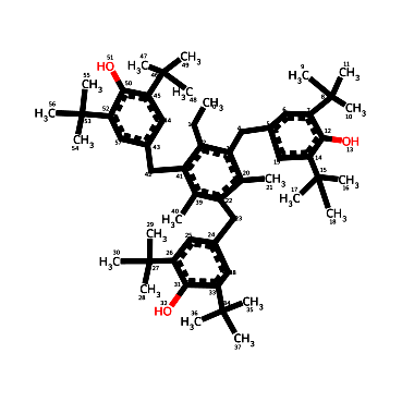 CCc1c(Cc2cc(C(C)(C)C)c(O)c(C(C)(C)C)c2)c(C)c(Cc2cc(C(C)(C)C)c(O)c(C(C)(C)C)c2)c(C)c1Cc1cc(C(C)(C)C)c(O)c(C(C)(C)C)c1